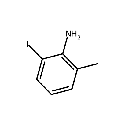 Cc1cccc(I)c1N